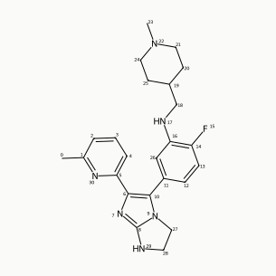 Cc1cccc(-c2nc3n(c2-c2ccc(F)c(NCC4CCN(C)CC4)c2)CCN3)n1